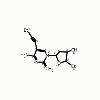 C=C1N=C(N)C(C#CCC)=CN1C1CC(C)C(CC)O1